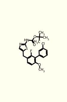 COc1ccc(Cc2cnc(NC(=O)OC(C)(C)C)s2)c(F)c1-c1cccc(Cl)c1